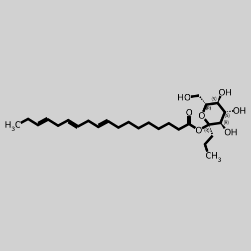 CCC=CCC=CCC=CCCCCCCCC(=O)O[C@@]1(CCC)O[C@H](CO)[C@@H](O)[C@H](O)[C@H]1O